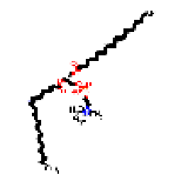 CCCCCCCCCCC/C=C\CCCCC(=O)O[C@H](COC(=O)CCCCCCCCCCCCCCC)COP(=O)(O)OCC[N+](C)(C)C